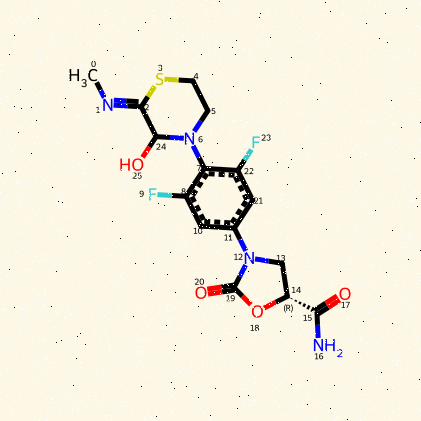 CN=C1SCCN(c2c(F)cc(N3C[C@H](C(N)=O)OC3=O)cc2F)C1O